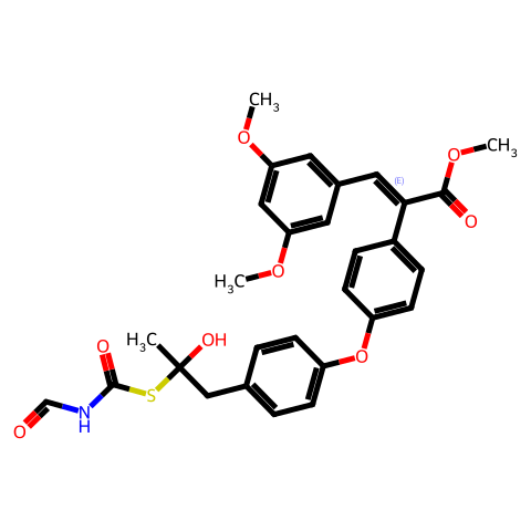 COC(=O)/C(=C/c1cc(OC)cc(OC)c1)c1ccc(Oc2ccc(CC(C)(O)SC(=O)NC=O)cc2)cc1